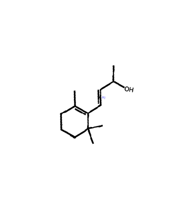 CC1=C(/C=C/C(C)O)C(C)(C)CCC1